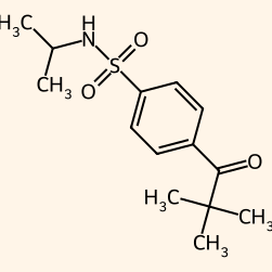 CC(C)NS(=O)(=O)c1ccc(C(=O)C(C)(C)C)cc1